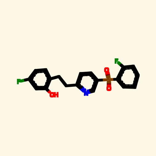 O=S(=O)(c1ccc(CCc2ccc(F)cc2O)nc1)c1ccccc1F